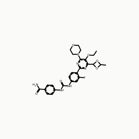 CCOc1c(C2OC(C)O2)nc(-c2ccc(NC(=O)Nc3ccc(C(N)=O)cc3)cc2F)nc1N1CCOCC1